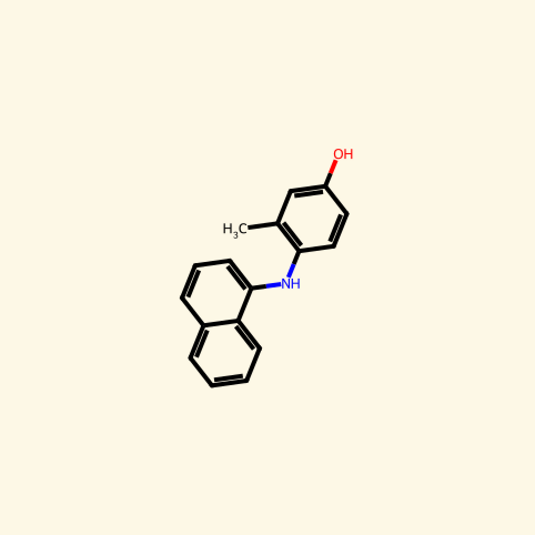 Cc1cc(O)ccc1Nc1cccc2ccccc12